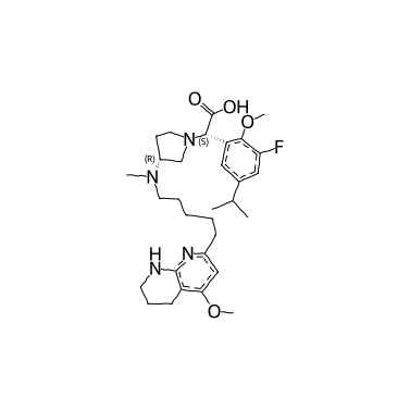 COc1cc(CCCCCN(C)[C@@H]2CCN([C@H](C(=O)O)c3cc(C(C)C)cc(F)c3OC)C2)nc2c1CCCN2